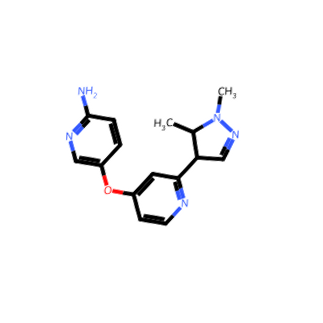 CC1C(c2cc(Oc3ccc(N)nc3)ccn2)C=NN1C